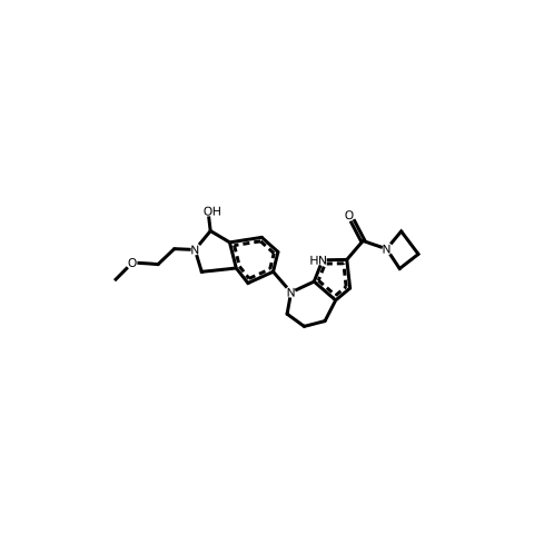 COCCN1Cc2cc(N3CCCc4cc(C(=O)N5CCC5)[nH]c43)ccc2C1O